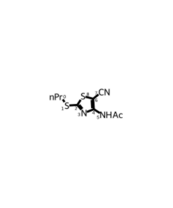 CCCSc1nc(NC(C)=O)c(C#N)s1